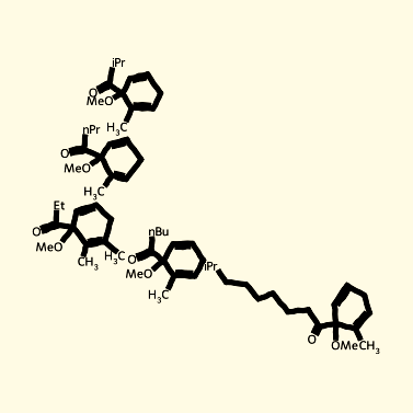 CCC(=O)C1(OC)C=CCC(C)=C1C.CCCC(=O)C1(OC)C=CCC=C1C.CCCCC(=O)C1(OC)C=CCC=C1C.COC1(C(=O)C(C)C)C=CCC=C1C.COC1(C(=O)CCCCCCC(C)C)C=CCC=C1C